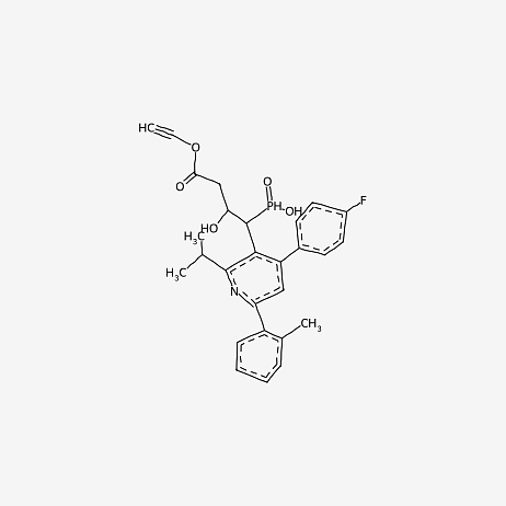 C#COC(=O)CC(O)C(c1c(-c2ccc(F)cc2)cc(-c2ccccc2C)nc1C(C)C)[PH](=O)O